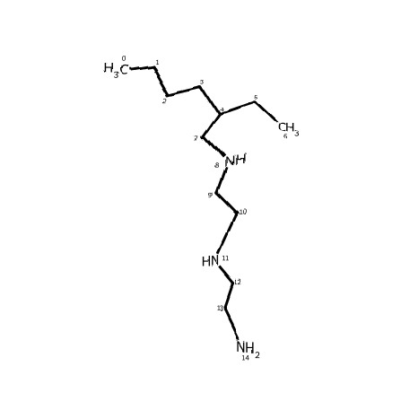 CCCCC(CC)CNCCNCCN